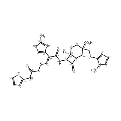 Cn1nnnc1SCC1(C(=O)O)CS[C@@H]2C(NC(=O)C(=NOCC(=O)Nc3nccs3)c3csc(N)n3)C(=O)N2C1